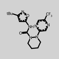 CC(C)(C)c1cc(NC(=O)N2CCCCN2c2cnc(C(F)(F)F)cn2)on1